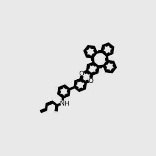 C=C/C=C\C(=C)Nc1cccc(-c2ccc3oc4cc5c6ccccc6c6ccccc6c6ccccc6c5cc4oc3c2)c1